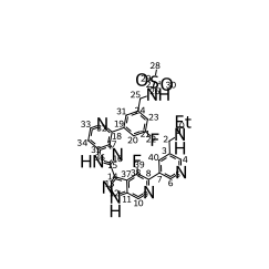 CCNCc1cncc(-c2ncc3[nH]nc(-c4nc5c(-c6cc(F)cc(CNS(C)(=O)=O)c6)nccc5[nH]4)c3c2F)c1